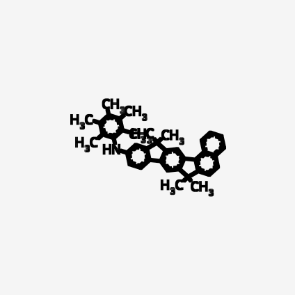 Cc1c(C)c(C)c(Nc2ccc3c(c2)C(C)(C)c2cc4c(cc2-3)C(C)(C)c2ccc3ccccc3c2-4)c(C)c1C